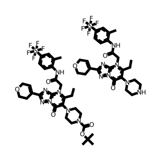 CCc1c(N2CCN(C(=O)OC(C)(C)C)CC2)c(=O)n2nc(C3=CCOCC3)nc2n1CC(=O)Nc1ccc(S(F)(F)(F)(F)F)cc1C.CCc1c(N2CCNCC2)c(=O)n2nc(C3=CCOCC3)nc2n1CC(=O)Nc1ccc(S(F)(F)(F)(F)F)cc1C